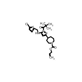 C=CCOC(=O)N1CCCC(c2cc(NCc3ccc(Cl)s3)n(C(=O)C(C)(C)C)n2)CC1